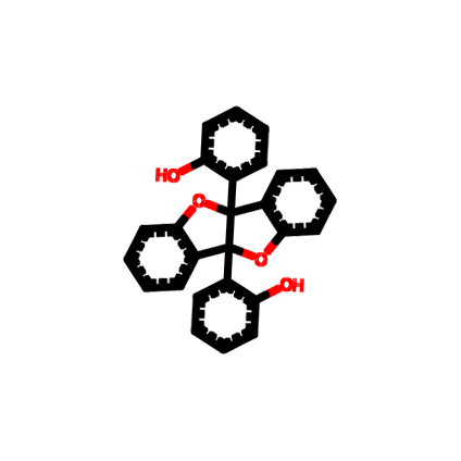 Oc1ccccc1C12Oc3ccccc3C1(c1ccccc1O)Oc1ccccc12